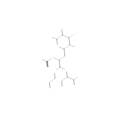 CC(=O)NC(CC1OC(C)C(O)C(O)C1O)C(OCCN)OC(CO)C(C)O